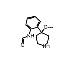 COC1(c2ccccc2NC=O)CCNCC1